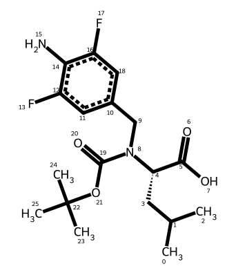 CC(C)C[C@@H](C(=O)O)N(Cc1cc(F)c(N)c(F)c1)C(=O)OC(C)(C)C